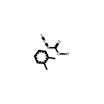 CC(C)OC(=O)N=C=S.Cc1ccccc1C